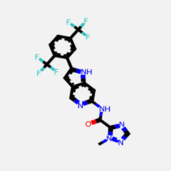 Cn1ncnc1C(=O)Nc1cc2[nH]c(-c3cc(C(F)(F)F)ccc3C(F)(F)F)cc2cn1